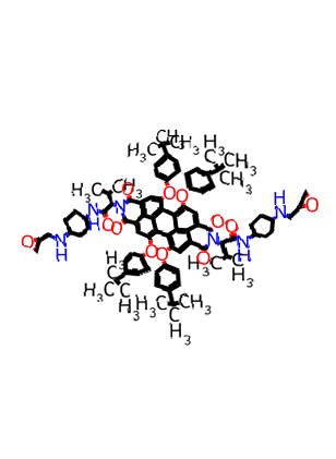 CC(C)C(C(=O)NC1CCC(NCC2CO2)CC1)N1C(=O)c2cc(Oc3ccc(C(C)(C)C)cc3)c3c4c(Oc5ccc(C(C)(C)C)cc5)cc5c6c(cc(Oc7ccc(C(C)(C)C)cc7)c(c7c(Oc8ccc(C(C)(C)C)cc8)cc(c2c37)C1=O)c64)C(=O)N(C(C(=O)NC1CCC(NCC2CO2)CC1)C(C)C)C5=O